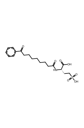 O=C(CCCCCCCC(=O)c1ccccc1)N[C@@H](CCS(=O)(=O)O)C(=O)O